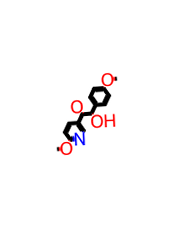 COc1ccc(C(O)C(=O)c2ccc(OC)nc2)cc1